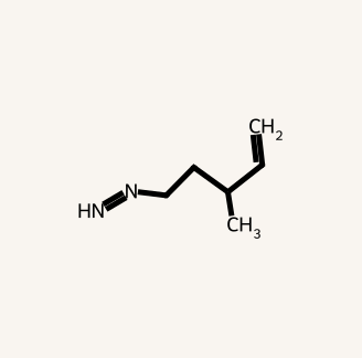 C=CC(C)CCN=N